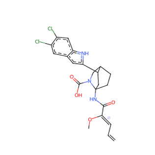 C=C/C=C(\OC)C(=O)NC12CCC(CN1C(=O)O)C(c1cc3cc(Cl)c(Cl)cc3[nH]1)C2